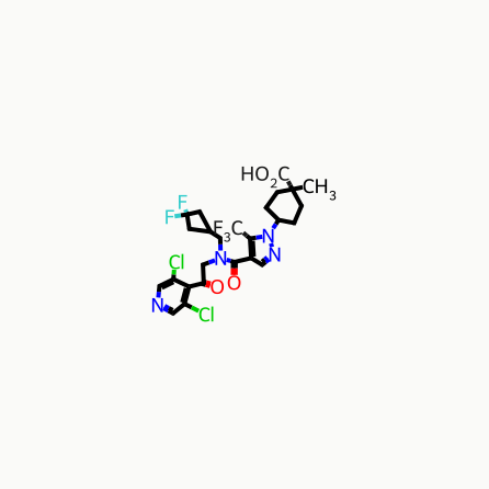 CC1(C(=O)O)CCC(n2ncc(C(=O)N(CC(=O)c3c(Cl)cncc3Cl)CC3CC(F)(F)C3)c2C(F)(F)F)CC1